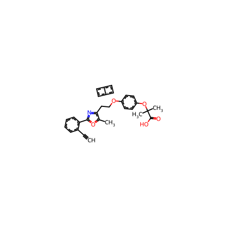 C#Cc1ccccc1-c1nc(CCOc2ccc(OC(C)(C)C(=O)O)cc2)c(C)o1.c1cc2ccc1-2